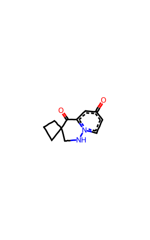 O=C1c2cc(=O)ccn2NCC12CCC2